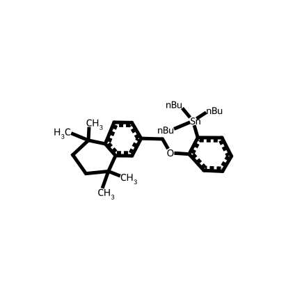 CCC[CH2][Sn]([CH2]CCC)([CH2]CCC)[c]1ccccc1OCc1ccc2c(c1)C(C)(C)CCC2(C)C